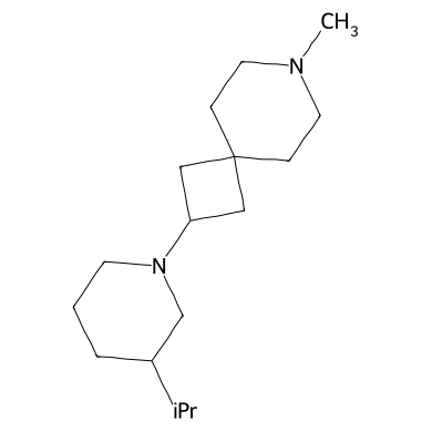 CC(C)C1CCCN(C2CC3(CCN(C)CC3)C2)C1